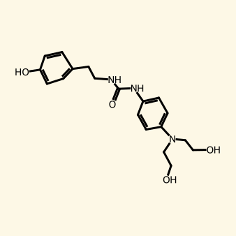 O=C(NCCc1ccc(O)cc1)Nc1ccc(N(CCO)CCO)cc1